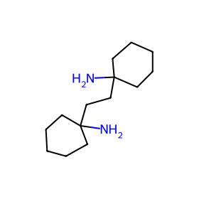 NC1(CCC2(N)CCCCC2)CCCCC1